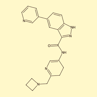 O=C(NC1=CN=C(CN2CCC2)CC1)c1n[nH]c2ccc(-c3cccnc3)cc12